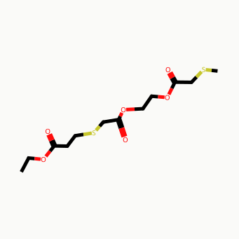 CCOC(=O)CCSCC(=O)OCCOC(=O)CSC